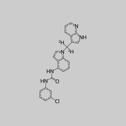 [2H]C([2H])(c1c[nH]c2ncccc12)n1ccc2c(NC(=O)Nc3cccc(Cl)c3)cccc21